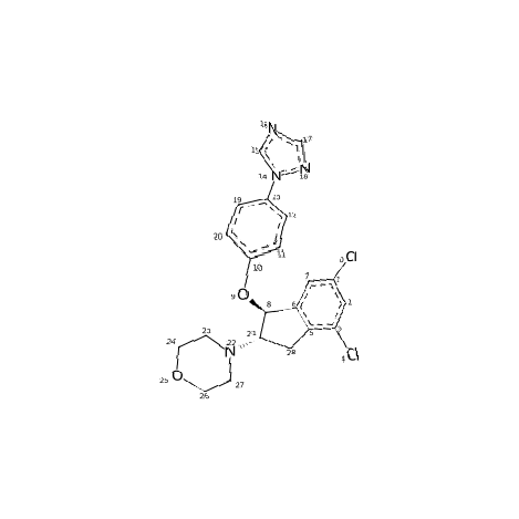 Clc1cc(Cl)c2c(c1)[C@H](Oc1ccc(-n3cncn3)cc1)[C@@H](N1CCOCC1)C2